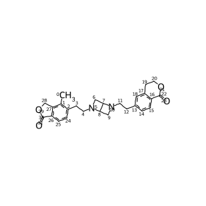 Cc1c(CCN2CC3C2CN3CCc2ccc3c(c2)CCOC3=O)ccc2c1COC2=O